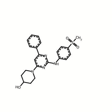 CS(=O)(=O)c1ccc(Nc2nc(-c3ccccc3)cc(N3CCC(O)CC3)n2)cc1